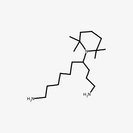 CC1(C)CCCC(C)(C)N1C(CCCN)CCCCCCN